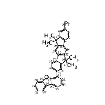 CC(C)c1ccc2c(c1)C(C)(C)c1cc3c(cc1-2)C(C)(C)c1cc(-c2cccc4c2oc2ccccc24)ccc1-3